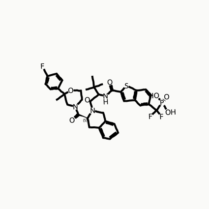 CC1(c2ccc(F)cc2)CN(C(=O)[C@@H]2Cc3ccccc3CN2C(=O)C(NC(=O)c2cc3cc(C(F)(F)P(=O)(O)O)ccc3s2)C(C)(C)C)CCO1